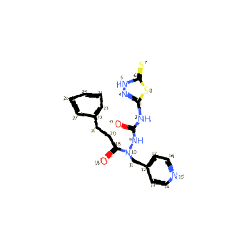 O=C(Nc1n[nH]c(=S)s1)NN(Cc1ccncc1)C(=O)CCc1ccccc1